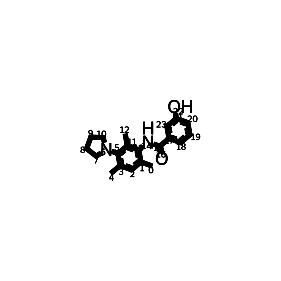 Cc1cc(C)c(N2CCCC2)c(C)c1NC(=O)c1cccc(O)c1